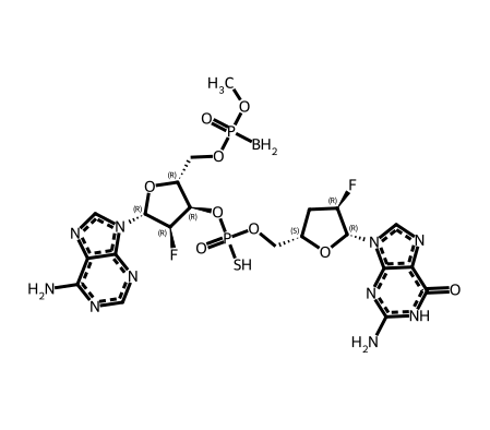 BP(=O)(OC)OC[C@H]1O[C@@H](n2cnc3c(N)ncnc32)[C@H](F)[C@@H]1OP(=O)(S)OC[C@@H]1C[C@@H](F)[C@H](n2cnc3c(=O)[nH]c(N)nc32)O1